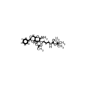 CC(=O)O[C@@H]1C(OCCCNC(=O)OC(C)(C)C)[C@H](N)OC2COC(c3ccccc3)O[C@@H]21